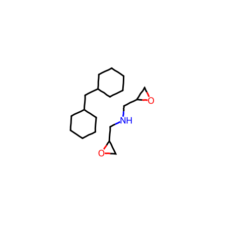 C(NCC1CO1)C1CO1.C1CCC(CC2CCCCC2)CC1